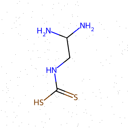 NC(N)CNC(=S)S